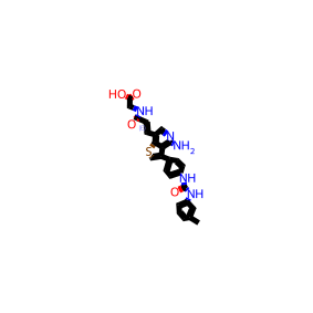 Cc1cccc(NC(=O)Nc2ccc(-c3csc4c(/C=C/C(=O)NCC(=O)O)cnc(N)c34)cc2)c1